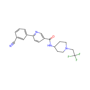 N#Cc1cccc(-c2ccc(C(=O)NC3CCN(CC(F)(F)F)CC3)cn2)c1